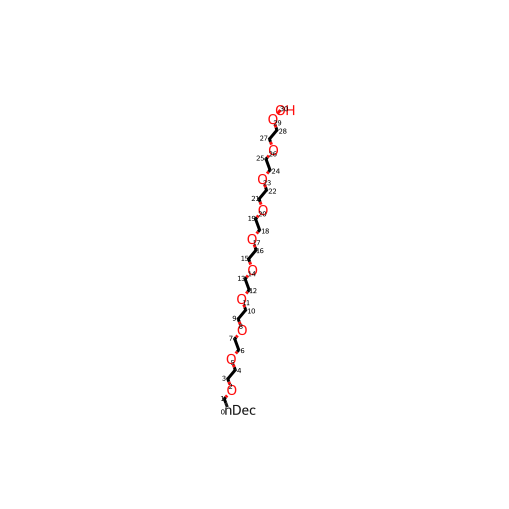 CCCCCCCCCCCOCCOCCOCCOCCOCCOCCOCCOCCOCCOO